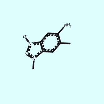 Cc1cc2c(cc1N)[n+]([O-])nn2C